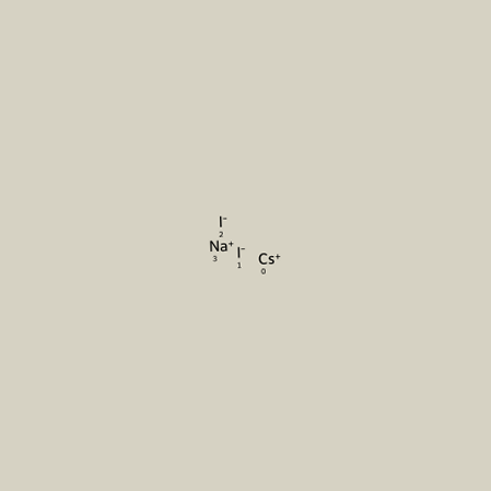 [Cs+].[I-].[I-].[Na+]